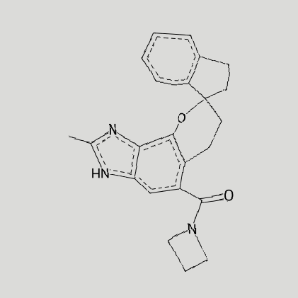 Cc1nc2c3c(c(C(=O)N4CCC4)cc2[nH]1)CCC1(CCc2ccccc21)O3